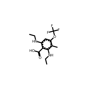 CCNc1cc(OC(F)(F)F)c(C)c(NCC)c1C(=O)O